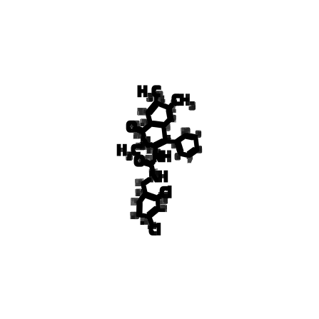 Cc1cc2c(-c3ccccc3)c(NC(=O)NCc3ccc(Cl)cc3Cl)n(C)c(=O)c2cc1C